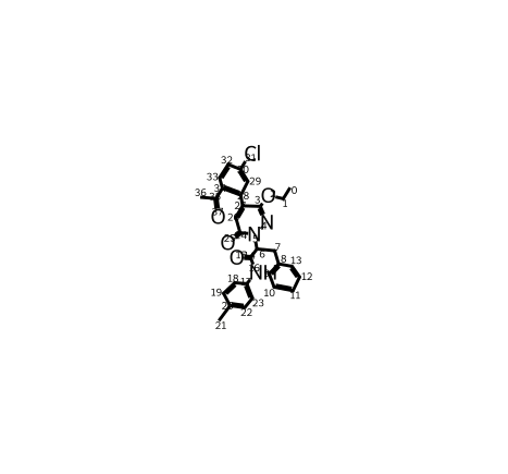 CCOc1nn(C(Cc2ccccc2)C(=O)Nc2ccc(C)cc2)c(=O)cc1-c1cc(Cl)ccc1C(C)=O